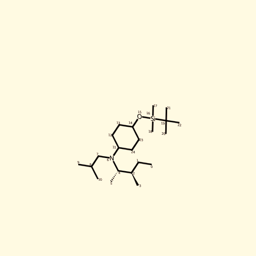 CC[C@@H](C)[C@H](C)N(CC(C)C)C1CCC(O[Si](C)(C)C(C)(C)C)CC1